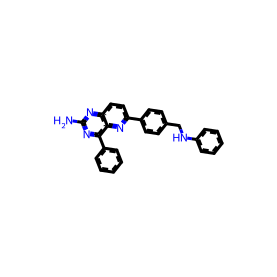 Nc1nc(-c2ccccc2)c2nc(-c3ccc(CNc4ccccc4)cc3)ccc2n1